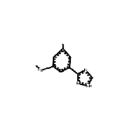 CNc1cc(I)cc(-c2nc[nH]n2)c1